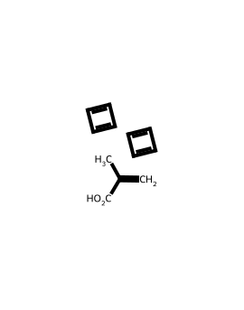 C1=CC=C1.C1=CC=C1.C=C(C)C(=O)O